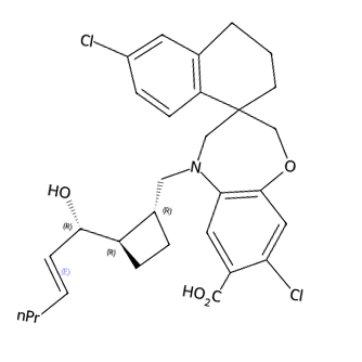 CCC/C=C/[C@H](O)[C@@H]1CC[C@H]1CN1CC2(CCCc3cc(Cl)ccc32)COc2cc(Cl)c(C(=O)O)cc21